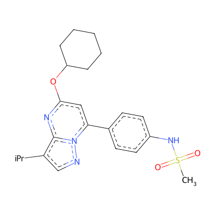 CC(C)c1cnn2c(-c3ccc(NS(C)(=O)=O)cc3)cc(OC3CCCCC3)nc12